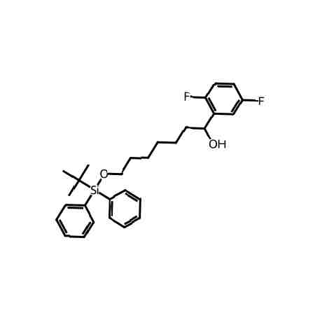 CC(C)(C)[Si](OCCCCCCC(O)c1cc(F)ccc1F)(c1ccccc1)c1ccccc1